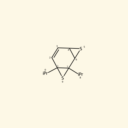 CC(C)C12C=CC3SC3C1(C(C)C)S2